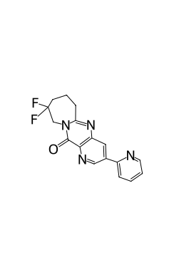 O=c1c2ncc(-c3ccccn3)cc2nc2n1CC(F)(F)CCC2